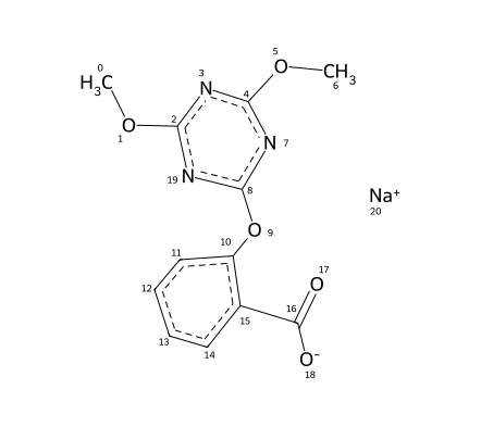 COc1nc(OC)nc(Oc2ccccc2C(=O)[O-])n1.[Na+]